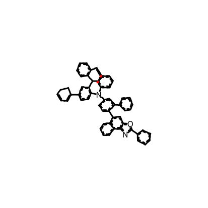 C1=CCCC(c2ccc(N(c3ccccc3)c3ccc(-c4cc5oc(-c6ccccc6)nc5c5ccccc45)c(-c4ccccc4)c3)c(C3CC=Cc4ccccc43)c2)=C1